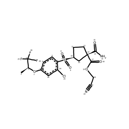 C[C@H](Oc1ccc(S(=O)(=O)[C@H]2CC[C@](C(N)=O)(C(=O)OCC#N)C2)c(Cl)c1)C(F)(F)F